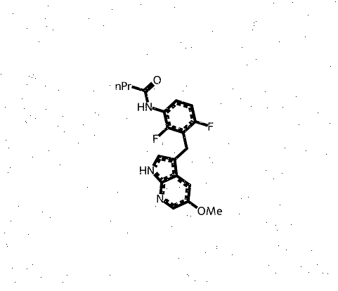 CCCC(=O)Nc1ccc(F)c(Cc2c[nH]c3ncc(OC)cc23)c1F